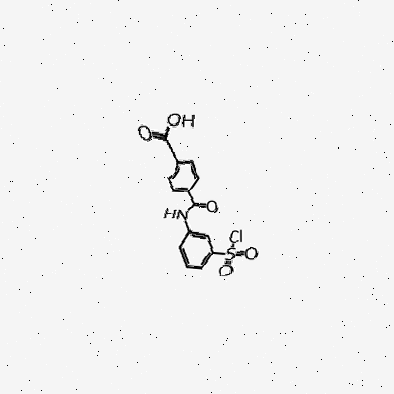 O=C(O)c1ccc(C(=O)Nc2cccc(S(=O)(=O)Cl)c2)cc1